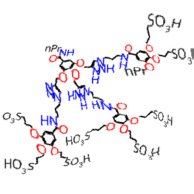 CCCNC(=O)c1cc(OCC2=CN(CCCNC(=O)c3cc(OCCC)c(OCCCS(=O)(=O)O)c(OCCCS(=O)(=O)O)c3)NN2)c(OCC2=CN(CCCNC(=O)c3cc(OCCCS(=O)(=O)O)c(OCCCS(=O)(=O)O)c(OCCCS(=O)(=O)O)c3)NN2)c(OCc2cn(CCCNC(=O)c3cc(OCCCS(=O)(=O)O)c(OCCCS(=O)(=O)O)c(OCCCS(=O)(=O)O)c3)nn2)c1